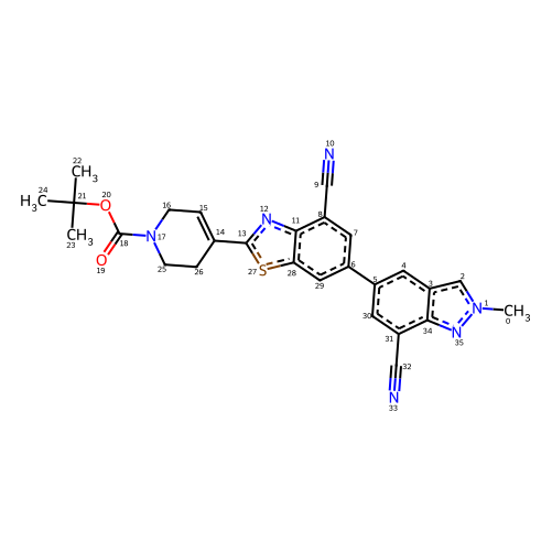 Cn1cc2cc(-c3cc(C#N)c4nc(C5=CCN(C(=O)OC(C)(C)C)CC5)sc4c3)cc(C#N)c2n1